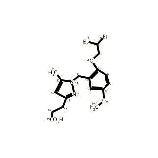 CCC(CC)COc1ccc(OC(F)(F)F)cc1Cn1nc(CCC(=O)O)cc1C